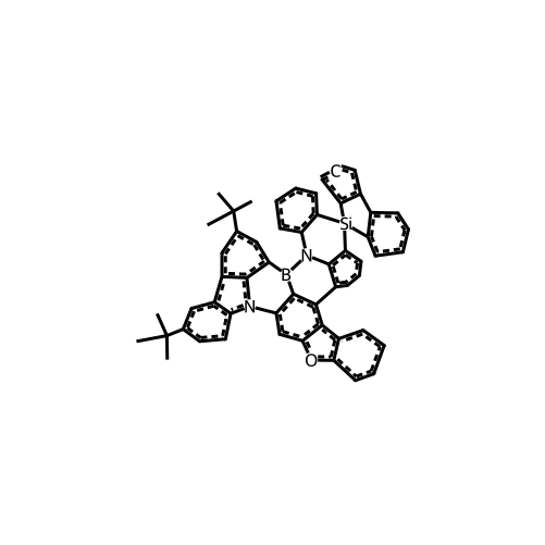 CC(C)(C)c1ccc2c(c1)c1cc(C(C)(C)C)cc3c1n2-c1cc2oc4ccccc4c2c2c1B3N1c3ccccc3[Si]3(c4ccccc4-c4ccccc43)c3cccc-2c31